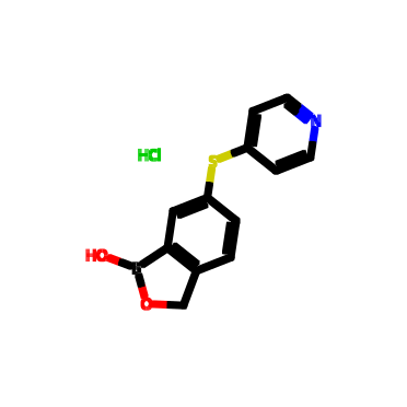 Cl.OB1OCc2ccc(Sc3ccncc3)cc21